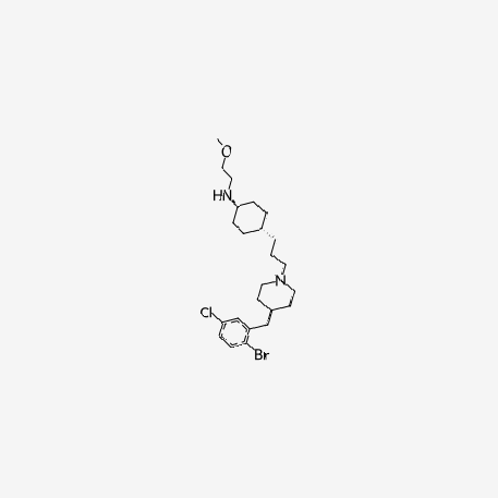 COCCN[C@H]1CC[C@H](CCCN2CCC(Cc3cc(Cl)ccc3Br)CC2)CC1